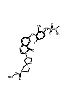 CCN(C)S(=O)(=O)Nc1ccc(F)c(Oc2ccc3ncn([C@H]4CO[C@]5(CCN(C(=O)OC(C)(C)C)C5)C4)c(=O)c3c2)c1C#N